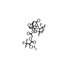 C=C(C(=O)OCC(=O)OC1C2OC(=O)C3C2OC1C3C(=O)OC(C(F)(F)F)C(F)(F)F)C(F)(F)F